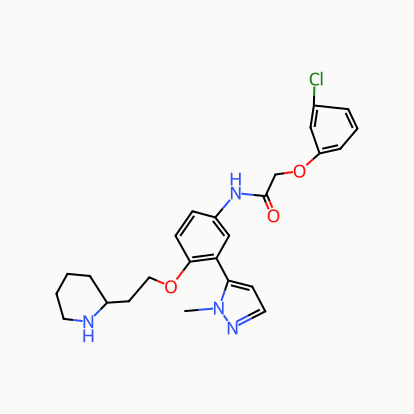 Cn1nccc1-c1cc(NC(=O)COc2cccc(Cl)c2)ccc1OCCC1CCCCN1